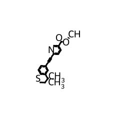 C#COC(=O)c1ccc(C#Cc2ccc3c(c2)C(C)(C)CCS3)nc1